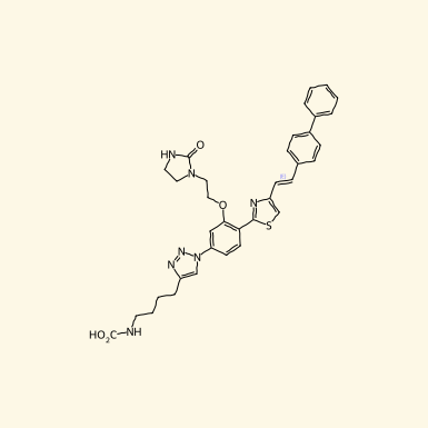 O=C(O)NCCCCc1cn(-c2ccc(-c3nc(/C=C/c4ccc(-c5ccccc5)cc4)cs3)c(OCCN3CCNC3=O)c2)nn1